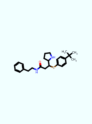 CC(C)(C)c1ccc(SC(CC(=O)NCCc2ccccc2)C2CCCN2)cc1